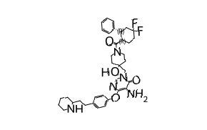 Nc1c(Oc2ccc(CCC3CCCCN3)cc2)ncn(CC2(O)CCN(C(=O)[C@@H]3CCC(F)(F)C[C@H]3c3ccccc3)CC2)c1=O